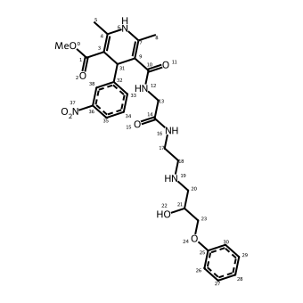 COC(=O)C1=C(C)NC(C)=C(C(=O)NCC(=O)NCCNCC(O)COc2ccccc2)C1c1cccc([N+](=O)[O-])c1